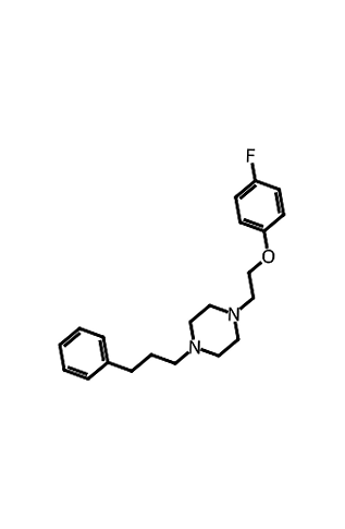 Fc1ccc(OCCN2CCN(CCCc3ccccc3)CC2)cc1